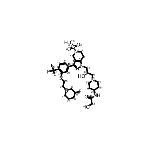 CS(=O)(=O)N1CCc2c(c(-c3ccc(C(F)(F)F)c(SCCN4CCCC(F)C4)c3)nn2C[C@@H](O)CN2CCC(NC(=O)CO)CC2)C1